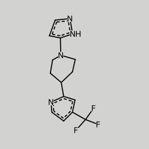 FC(F)(F)c1ccnc(C2CCN(c3ccn[nH]3)CC2)c1